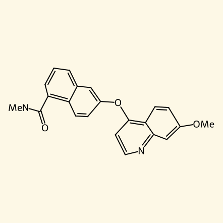 CNC(=O)c1cccc2cc(Oc3ccnc4cc(OC)ccc34)ccc12